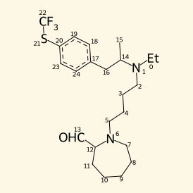 CCN(CCCCN1CCCCCC1C=O)C(C)Cc1ccc(SC(F)(F)F)cc1